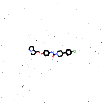 O=C(Nc1ccc(OCC2CCN3CCCC23)cc1)N1CCC(c2ccc(Cl)cc2)CC1